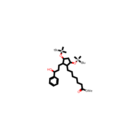 COC(=O)CCCCCCC1C(O[Si](C)(C)C(C)(C)C)CC(O[Si](C)(C)C(C)(C)C)C1CCC(O)c1ccccc1